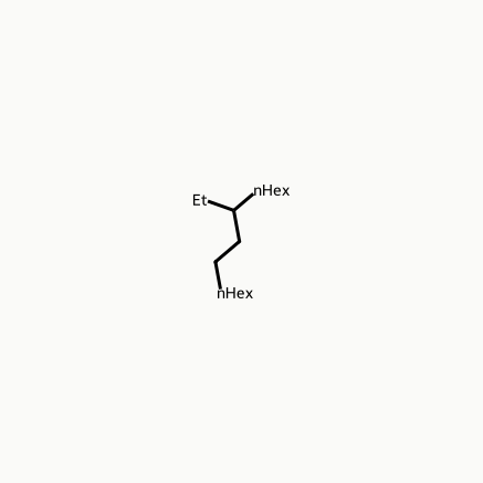 [CH2]CCCCCC(CC)CCCCCCCC